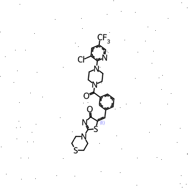 O=C1N=C(N2CCSCC2)S/C1=C/c1cccc(C(=O)N2CCN(c3ncc(C(F)(F)F)cc3Cl)CC2)c1